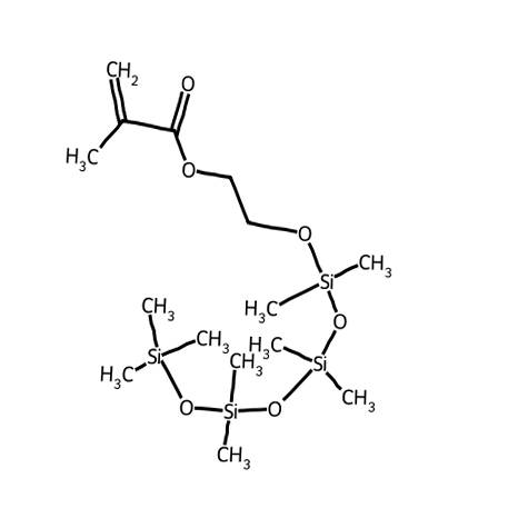 C=C(C)C(=O)OCCO[Si](C)(C)O[Si](C)(C)O[Si](C)(C)O[Si](C)(C)C